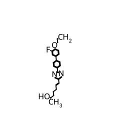 C=CCOc1ccc(-c2ccc(-c3ncc(C=CCCCC(C)O)cn3)cc2)cc1F